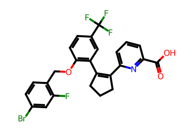 O=C(O)c1cccc(C2=C(c3cc(C(F)(F)F)ccc3OCc3ccc(Br)cc3F)CCC2)n1